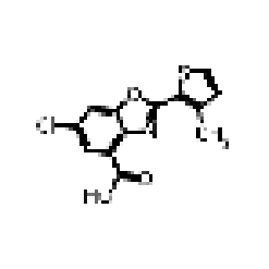 Cc1ccsc1-c1nc2c(C(=O)O)cc(Cl)cc2o1